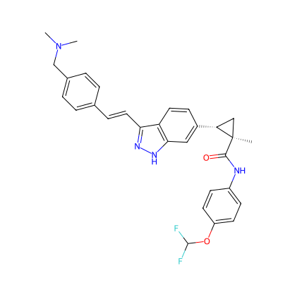 CN(C)Cc1ccc(/C=C/c2n[nH]c3cc([C@@H]4C[C@@]4(C)C(=O)Nc4ccc(OC(F)F)cc4)ccc23)cc1